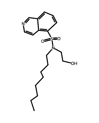 CCCCCCCCN(CCO)S(=O)(=O)c1cccc2cnccc12